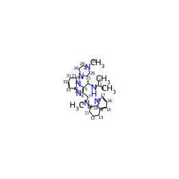 CC(C)NCc1c(CN(C)[C@H]2CCCc3cccnc32)nc2n1C(N1CCN(C)CC1)CC=C2